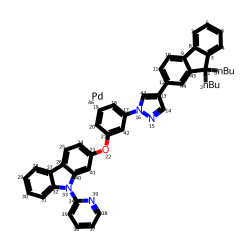 CCCCC1(CCCC)c2ccccc2-c2ccc(-c3cnn(-c4cccc(Oc5ccc6c7ccccc7n(-c7ccccn7)c6c5)c4)c3)cc21.[Pd]